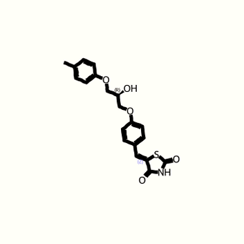 Cc1ccc(OC[C@@H](O)COc2ccc(/C=C3\SC(=O)NC3=O)cc2)cc1